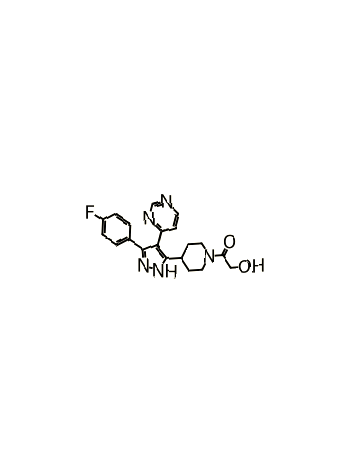 O=C(CO)N1CCC(c2[nH]nc(-c3ccc(F)cc3)c2-c2ccncn2)CC1